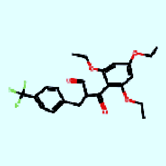 CCOc1cc(OCC)c(C(=O)C([C]=O)Cc2ccc(C(F)(F)F)cc2)c(OCC)c1